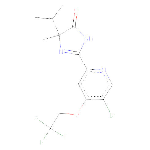 CC(C)C1(C)N=C(c2cc(OCC(F)(F)F)c(Br)cn2)NC1=O